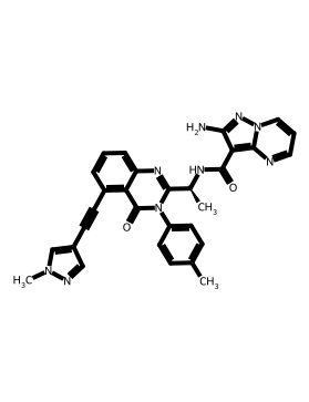 Cc1ccc(-n2c([C@H](C)NC(=O)c3c(N)nn4cccnc34)nc3cccc(C#Cc4cnn(C)c4)c3c2=O)cc1